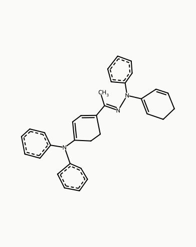 CC(=NN(C1=CCCC=C1)c1ccccc1)C1=CC=C(N(c2ccccc2)c2ccccc2)CC1